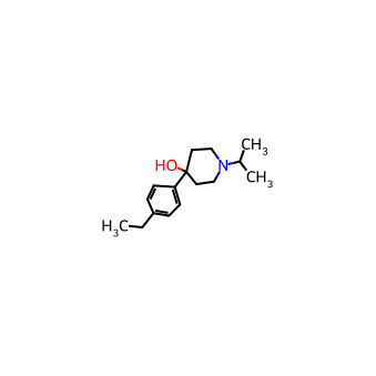 CCc1ccc(C2(O)CCN(C(C)C)CC2)cc1